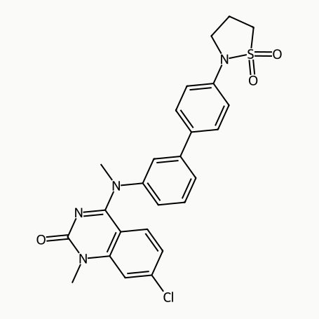 CN(c1cccc(-c2ccc(N3CCCS3(=O)=O)cc2)c1)c1nc(=O)n(C)c2cc(Cl)ccc12